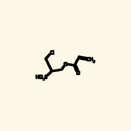 C=CC(=O)OCC(CCl)S(=O)(=O)O